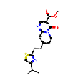 COC(=O)c1cnc2cc(CCc3nc(C(C)C)cs3)ccn2c1=O